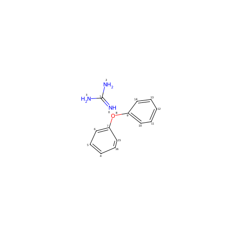 N=C(N)N.c1ccc(Oc2ccccc2)cc1